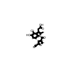 Cc1c(CC(=O)O)c2c(Cl)c(O)ccc2n1C(=O)c1csc(C#N)c1